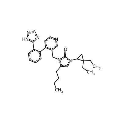 CCCCc1cn(C2CC2(CC)CC)c(=O)n1Cc1cnccc1-c1ccccc1-c1nnn[nH]1